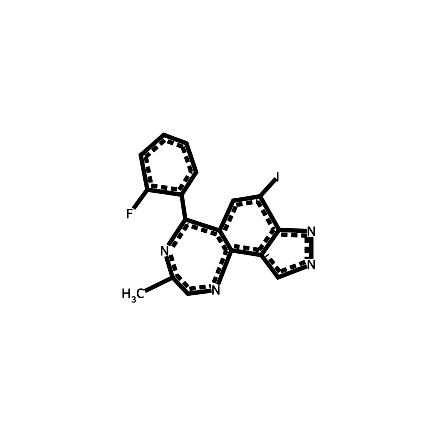 Cc1cnc2c(cc(I)c3nncc32)c(-c2ccccc2F)n1